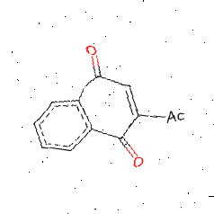 CC(=O)C1=CC(=O)c2ccccc2C1=O